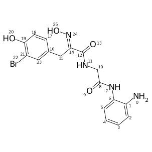 Nc1ccccc1NC(=O)CNC(=O)/C(Cc1ccc(O)c(Br)c1)=N/O